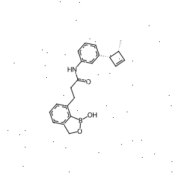 C[C@@H]1C=C[C@@H]1c1cccc(NC(=O)CCc2cccc3c2B(O)OC3)c1